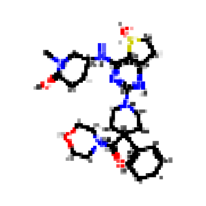 CN1C[C@@H](Nc2nc(N3CCC(C(=O)N4CCOCC4)(C4=CCCC=C4)CC3)nc3c2[S+]([O-])CC3)CCC1=O